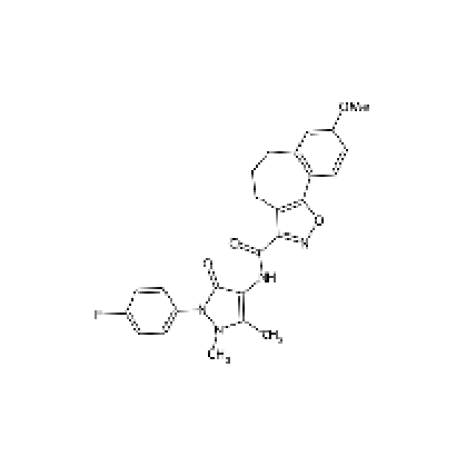 COc1ccc2c(c1)CCCc1c(C(=O)Nc3c(C)n(C)n(-c4ccc(F)cc4)c3=O)noc1-2